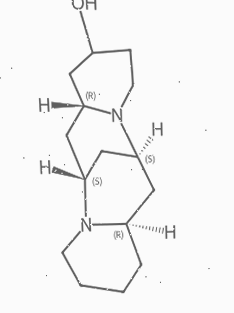 OC1CCN2[C@@H]3C[C@@H](C[C@@H]2C1)N1CCCC[C@@H]1C3